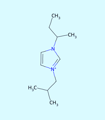 CCC(C)n1cc[n+](CC(C)C)c1